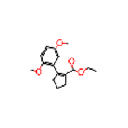 CCOC(=O)C1=C(c2cc(OC)ccc2OC)CCC1